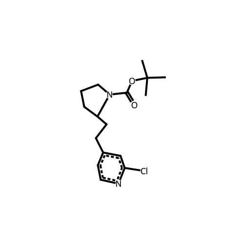 CC(C)(C)OC(=O)N1CCCC1CCc1ccnc(Cl)c1